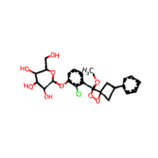 COC1(c2cccc(OC3OC(CO)C(O)C(O)C3O)c2Cl)OOC12CC(c1ccccc1)C2